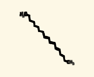 CCCCC=CC=CC=CCCCCCCCC